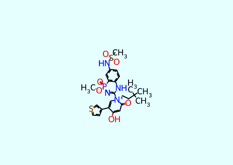 COP1(=O)N=C([N+]2(CCC(C)(C)C)C=C(c3ccsc3)C(O)=CC2=O)Nc2ccc(NS(C)(=O)=O)cc21